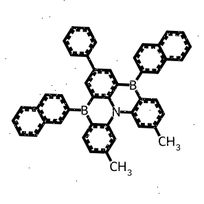 Cc1ccc2c(c1)N1c3cc(C)ccc3B(c3ccc4ccccc4c3)c3cc(-c4ccccc4)cc(c31)B2c1ccc2ccccc2c1